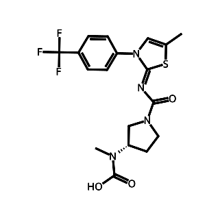 Cc1cn(-c2ccc(C(F)(F)F)cc2)c(=NC(=O)N2CC[C@H](N(C)C(=O)O)C2)s1